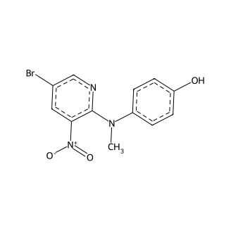 CN(c1ccc(O)cc1)c1ncc(Br)cc1[N+](=O)[O-]